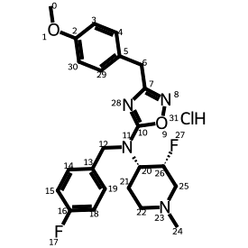 COc1ccc(Cc2noc(N(Cc3ccc(F)cc3)[C@H]3CCN(C)C[C@H]3F)n2)cc1.Cl